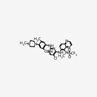 COc1cc(N2CCN(C)CC2)c(C)cc1Nc1ncc(Cl)c(Nc2ccc3nccnc3c2N(C)S(=O)(=O)C(F)(F)F)n1